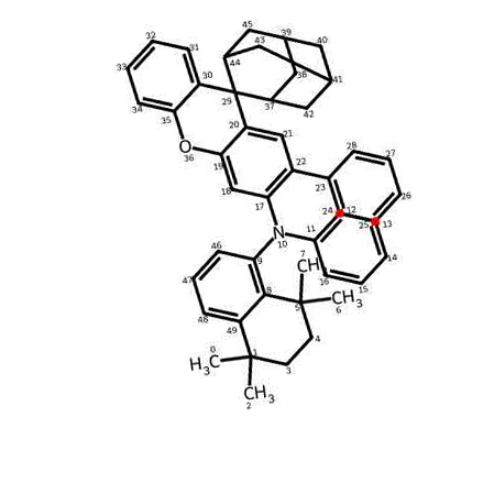 CC1(C)CCC(C)(C)c2c(N(c3ccccc3)c3cc4c(cc3-c3ccccc3)C3(c5ccccc5O4)C4CC5CC(C4)CC3C5)cccc21